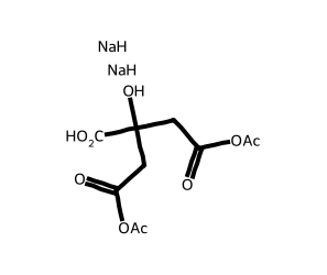 CC(=O)OC(=O)CC(O)(CC(=O)OC(C)=O)C(=O)O.[NaH].[NaH]